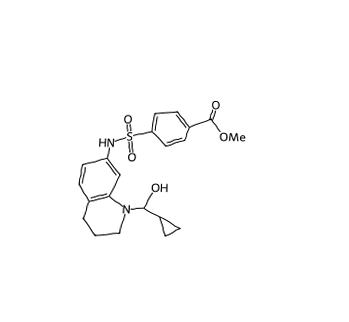 COC(=O)c1ccc(S(=O)(=O)Nc2ccc3c(c2)N(C(O)C2CC2)CCC3)cc1